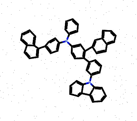 c1ccc(N(c2ccc(-c3cccc4ccccc34)cc2)c2ccc(-c3cccc(-n4c5ccccc5c5ccccc54)c3)c(-c3ccc4ccccc4c3)c2)cc1